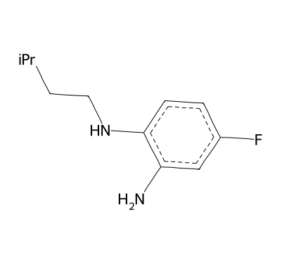 CC(C)CCNc1ccc(F)cc1N